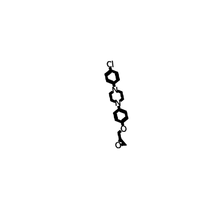 Clc1ccc(N2CCN(c3ccc(OCC4CO4)cc3)CC2)cc1